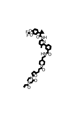 C=CC(=O)N1CCN(c2ccc(CCC(=O)N3CCC(CCNC(=O)c4cccc(-c5nc(NC(=O)C6(c7ccc8c(c7)OC(F)(F)O8)CC6)ccc5C)c4)CC3)o2)C(=O)C1